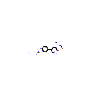 CC(C)COC(=O)N1CCOc2ncc(-c3ccc4nc(N)sc4c3)cc21